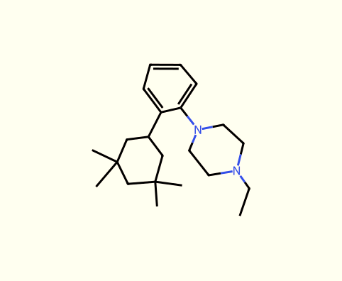 CCN1CCN(c2ccccc2C2CC(C)(C)CC(C)(C)C2)CC1